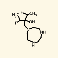 CC(F)C(O)(CN1CCNCCNCC1)C(C)F